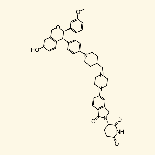 COc1cccc([C@@H]2OCc3cc(O)ccc3[C@@H]2c2ccc(N3CCC(CN4CCN(c5ccc6c(c5)CN([C@H]5CCC(=O)NC5=O)C6=O)CC4)CC3)cc2)c1